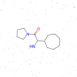 [NH]C(C(=O)N1CCCC1)C1CCCCCC1